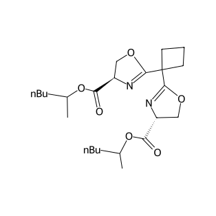 CCCCC(C)OC(=O)[C@H]1COC(C2(C3=N[C@@H](C(=O)OC(C)CCCC)CO3)CCC2)=N1